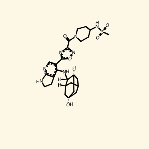 CS(=O)(=O)NC1CCN(C(=O)c2noc(-c3cnc4c(c3N[C@H]3[C@@H]5CC6C[C@H]3C[C@@](O)(C6)C5)CCN4)n2)CC1